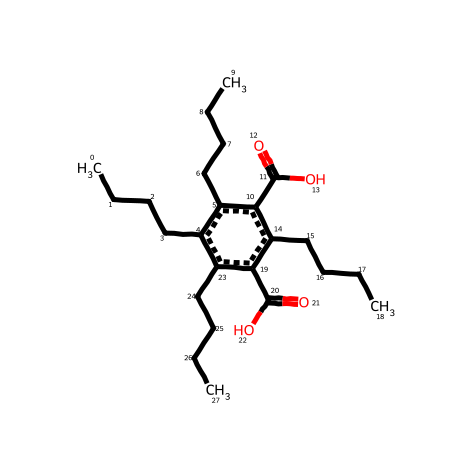 CCCCc1c(CCCC)c(C(=O)O)c(CCCC)c(C(=O)O)c1CCCC